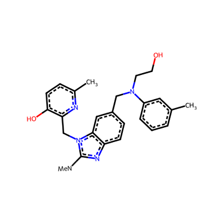 CNc1nc2ccc(CN(CCO)c3cccc(C)c3)cc2n1Cc1nc(C)ccc1O